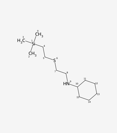 C[Si](C)(C)CCSCCNC1CCCCC1